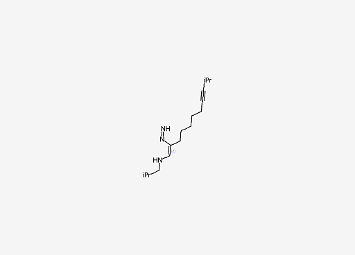 CC(C)C#CCCCCC/C(=C/NCC(C)C)N=N